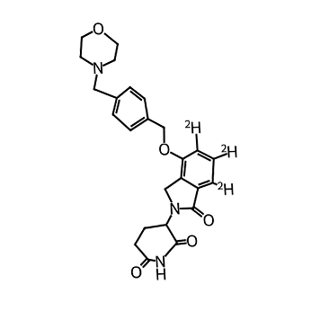 [2H]c1c([2H])c(OCc2ccc(CN3CCOCC3)cc2)c2c(c1[2H])C(=O)N(C1CCC(=O)NC1=O)C2